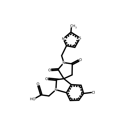 Cc1nc(CN2C(=O)CC3(C2=O)C(=O)N(CC(=O)O)c2ccc(Cl)cc23)cs1